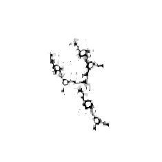 N#Cc1cc(COc2c(Br)cc(C(=O)NCC(=O)O)cc2Br)cc(NCC2CC2)c1.N#Cc1cc(COc2c(Br)cc(CCC(=O)O)cc2Br)cc(NCC2CC2)c1.N#Cc1cc(COc2c(Cl)cc(CCC(=O)O)cc2Cl)cc(NCC2CC2)c1